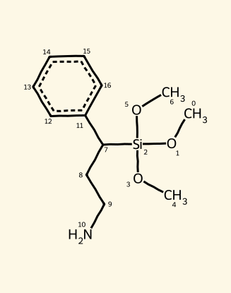 CO[Si](OC)(OC)C(CCN)c1ccccc1